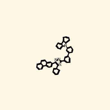 c1ccc(-c2nc(-c3cccc(-c4cccc(-n5c6ccccc6c6ccccc65)c4)c3)nnc2-c2ccc3c(ccc4ccccc43)c2)cc1